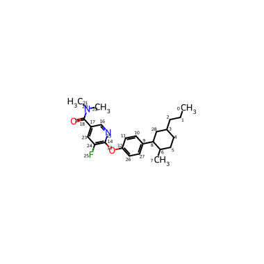 CCCC1CCC(C)C(c2ccc(Oc3ncc(C(=O)N(C)C)cc3F)cc2)C1